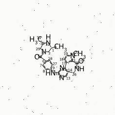 CC1CN(C(=O)c2ccc(Nc3ncc4c(n3)-c3ccn(C)c3C(=O)NC4)cc2)CC(C)N1